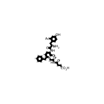 CC(=O)c1cc(O)ccc1C[C@H](N)C(=O)Nc1ccc(Cc2ccccc2)n(CC(=O)NC(=O)CCC(=O)O)c1=O